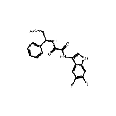 COCC(NC(=O)C(=O)Nc1c[nH]c2cc(F)c(F)cc12)c1ccccc1